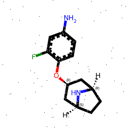 Nc1ccc(O[C@H]2C[C@H]3CC[C@@H](C2)N3)c(F)c1